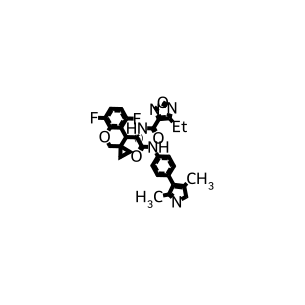 CCc1nonc1C(=O)N[C@H](C(=O)Nc1ccc(C2=C(C)CN=C2C)cc1)C1c2c(F)ccc(F)c2OCC12CC2